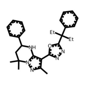 CCC(CC)(c1ccccc1)c1nnc(-c2c(C)nn3c2NC(c2ccccc2)CC3(C)C)o1